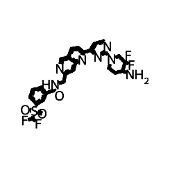 NC1CCN(c2nccc(-c3ccc4cnc(CNC(=O)c5cccc(S(=O)(=O)C(F)F)c5)cc4n3)n2)CC1(F)F